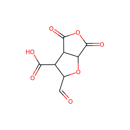 O=CC1OC2C(=O)OC(=O)C2C1C(=O)O